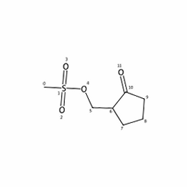 CS(=O)(=O)OCC1CCCC1=O